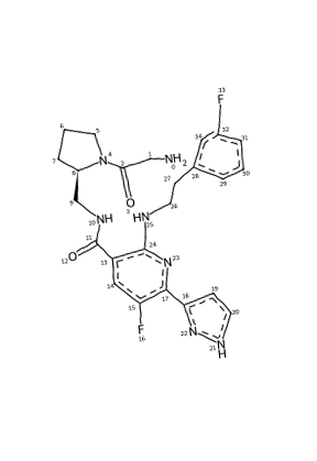 NCC(=O)N1CCC[C@@H]1CNC(=O)c1cc(F)c(-c2cc[nH]n2)nc1NCCc1cccc(F)c1